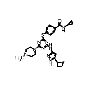 CN1CCN(c2nc(Nc3cc(C4CCC4)[nH]n3)nc(Sc3ccc(C(=O)NC4CC4)cc3)n2)CC1